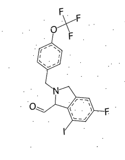 O=CC1c2c(I)cc(F)cc2CN1Cc1ccc(OC(F)(F)F)cc1